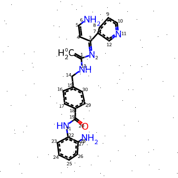 C=C(/N=C(\C=C/N)c1cccnc1)NCc1ccc(C(=O)Nc2ccccc2N)cc1